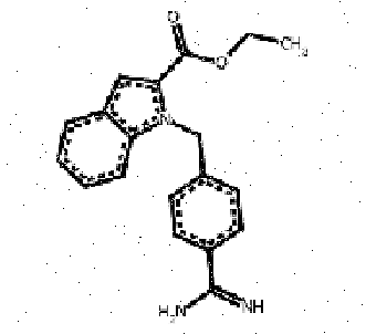 CCOC(=O)c1cc2ccccc2n1Cc1ccc(C(=N)N)cc1